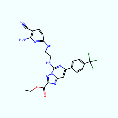 CCOC(=O)c1nc2cc(-c3ccc(C(F)(F)F)cc3)nc(NCCNc3ccc(C#N)c(N)n3)n2n1